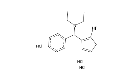 CCN(CC)C(C1=[C]([Hf])CC=C1)c1ccccc1.Cl.Cl.Cl